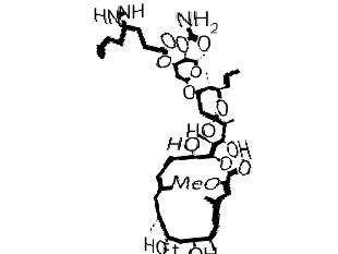 C#CCCC1(CCC(=O)O[C@H]2C[C@@H](O[C@@H]3C[C@](O)([C@@H](C)[C@H](O)[C@H](C)[C@H]4OC(=O)/C(OC)=C/C(C)=C/[C@@H](C)[C@@H](O)C(CC)[C@@H](O)[C@H](C)C/C(C)=C/C=C/[C@@H]4O)O[C@H](/C=C/C)[C@H]3C)O[C@@H](C)[C@@H]2OC(N)=O)NN1